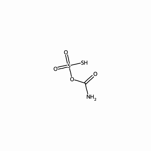 NC(=O)OS(=O)(=O)S